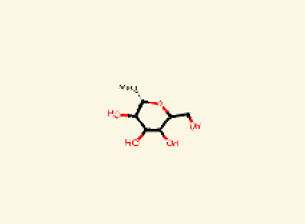 CO[C@@H]1OC(CO)C(O)C(O)C1O